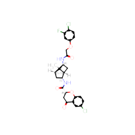 C[C@]12[C@@H]3C[C@@]1(NC(=O)COc1ccc(Cl)c(F)c1)[C@H]2C[C@@H]3NC(=O)[C@H]1CC(=O)c2cc(Cl)ccc2O1